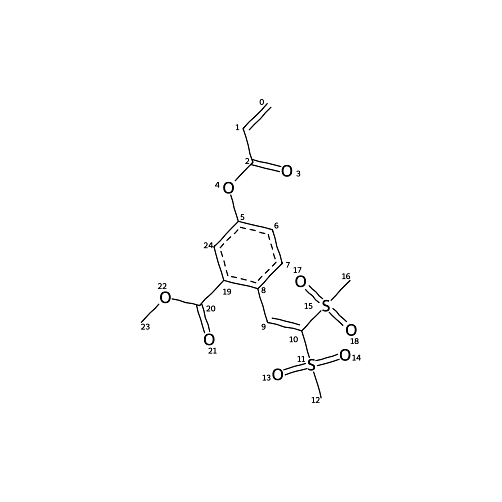 C=CC(=O)Oc1ccc(C=C(S(C)(=O)=O)S(C)(=O)=O)c(C(=O)OC)c1